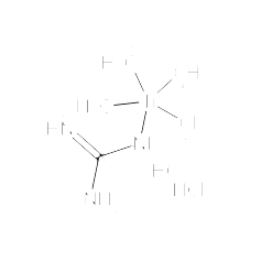 Cl.Cl.[CH3][Ti]([CH3])([CH3])([CH3])[NH]C(=N)N